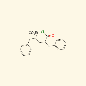 CCOC(=O)C(Cc1ccccc1)CC(Cc1ccccc1)C(=O)Cl